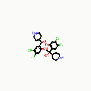 CC(O)(c1cc(Cl)c(Cl)cc1OOC(c1cc(Cl)c(Cl)cc1O)C1CCNCC1)C1CCNCC1